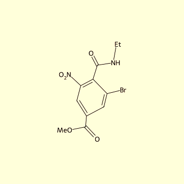 CCNC(=O)c1c(Br)cc(C(=O)OC)cc1[N+](=O)[O-]